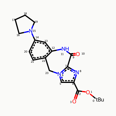 CC(C)(C)OC(=O)c1cn2c(n1)C(=O)Nc1cc(N3CCCC3)ccc1C2